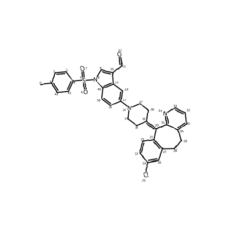 Cc1ccc(S(=O)(=O)n2cc(C=O)c3cc(N4CCC(=C5c6ccc(Cl)cc6CCc6cccnc65)CC4)ccc32)cc1